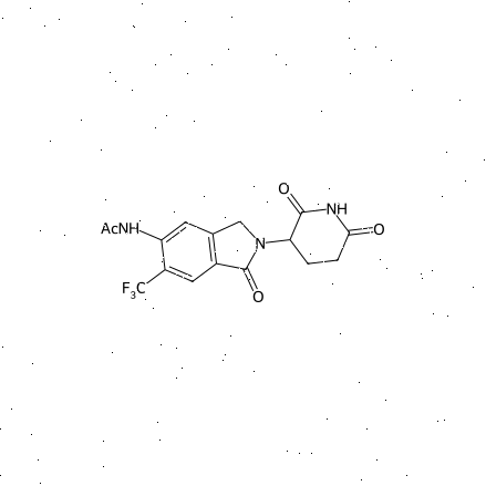 CC(=O)Nc1cc2c(cc1C(F)(F)F)C(=O)N(C1CCC(=O)NC1=O)C2